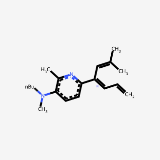 C=C/C=C(\C=C(C)C)c1ccc(N(C)CCCC)c(C)n1